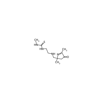 CNC(=S)NCCNCC1(C)CC(=O)C(C)=N1